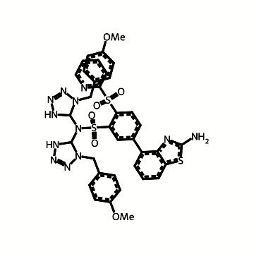 COc1ccc(CN2N=NNC2N(C2NN=NN2Cc2ccc(OC)cc2)S(=O)(=O)c2cc(-c3cccc4sc(N)nc34)ccc2S(=O)(=O)c2ccccn2)cc1